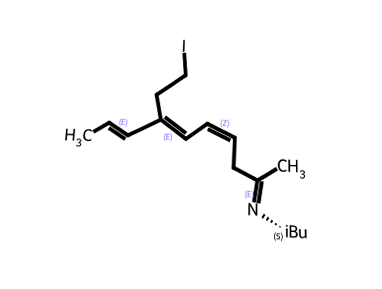 C/C=C/C(=C/C=C\C/C(C)=N/[C@@H](C)CC)CCI